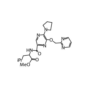 COC(=O)C(CC(C)C)NC(=O)c1cnc(N2CCCC2)c(OCc2ncccn2)n1